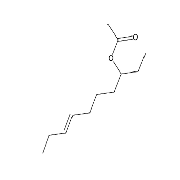 CCC=CCCCC(CC)OC(C)=O